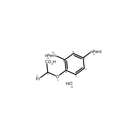 CCCCCc1ccc(OC(CC)C(=O)O)c(CCCCC)c1.Cl